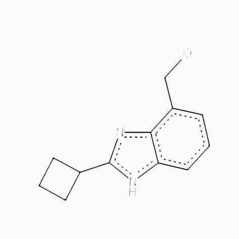 [O]Cc1cccc2[nH]c(C3CCC3)nc12